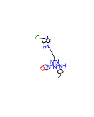 CCc1ccc(Nc2nc(CCCCCNc3ccnc4cc(Cl)ccc34)nc(N3CCOCC3)n2)cc1